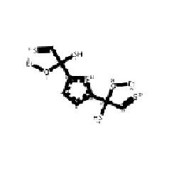 CCOC(S)(C=S)c1ccc(C(S)(C=S)OCC)s1